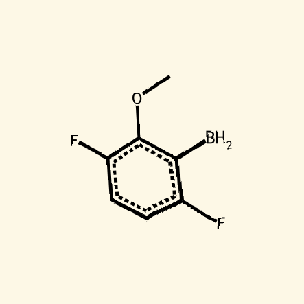 Bc1c(F)ccc(F)c1OC